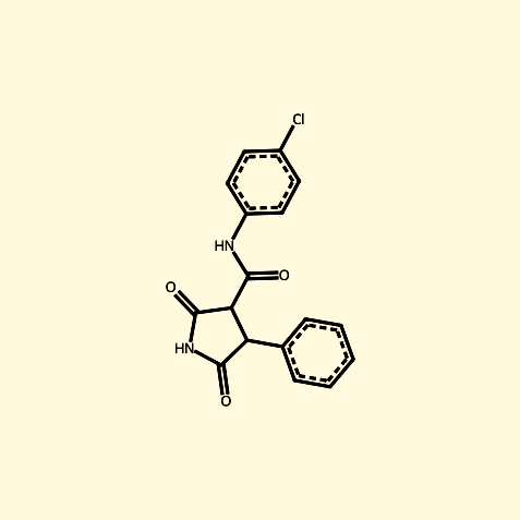 O=C1NC(=O)C(c2ccccc2)C1C(=O)Nc1ccc(Cl)cc1